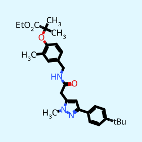 CCOC(=O)C(C)(C)Oc1ccc(CNC(=O)Cc2cc(-c3ccc(C(C)(C)C)cc3)nn2C)cc1C